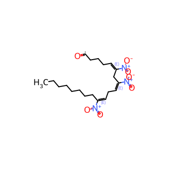 CCCCCCCC/C(=C\C/C=C(\C/C(=C\CCC[C]=O)[N+](=O)[O-])[N+](=O)[O-])[N+](=O)[O-]